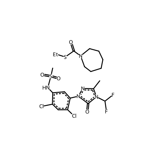 CCSC(=O)N1CCCCCC1.Cc1nn(-c2cc(NS(C)(=O)=O)c(Cl)cc2Cl)c(=O)n1C(F)F